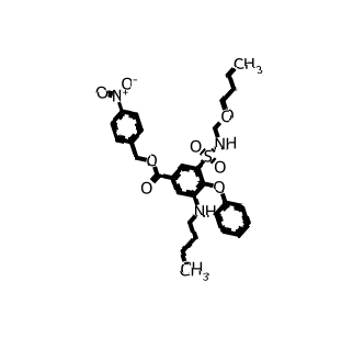 CCCCNc1cc(C(=O)OCc2ccc([N+](=O)[O-])cc2)cc(S(=O)(=O)NCOCCCC)c1Oc1ccccc1